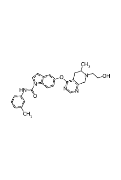 Cc1cccc(NC(=O)n2ccc3cc(Oc4ncnc5c4CC(C)N(CCO)C5)ccc32)c1